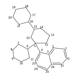 c1ccc2c(C3(C4CCCCC4)CCCC(C4CCCCC4)C3)cccc2c1